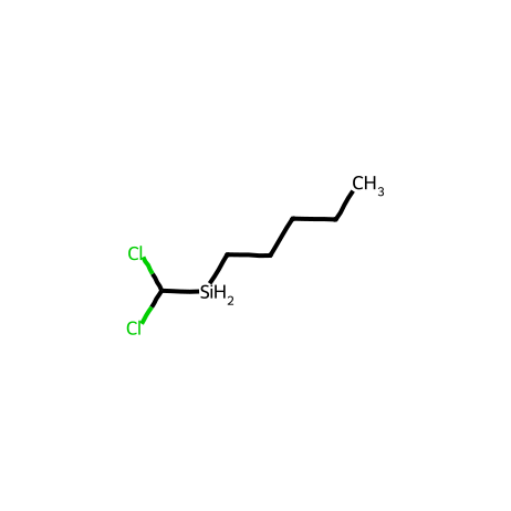 CCCCC[SiH2]C(Cl)Cl